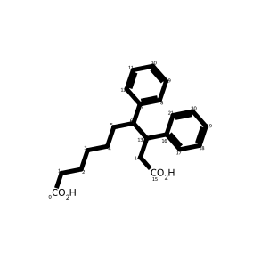 O=C(O)CCCCCC(c1ccccc1)C(CC(=O)O)c1ccccc1